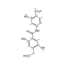 O=C(O)Cc1cc(O)c(C(=O)Nc2ccc(C(=O)O)c(O)c2)cc1O